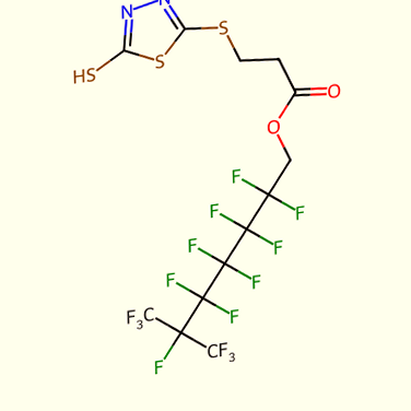 O=C(CCSc1nnc(S)s1)OCC(F)(F)C(F)(F)C(F)(F)C(F)(F)C(F)(C(F)(F)F)C(F)(F)F